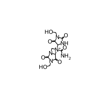 NC(=O)[N+]1(C2NC(=O)N(CO)C2=O)CN2C(=O)N(CO)C(=O)C21